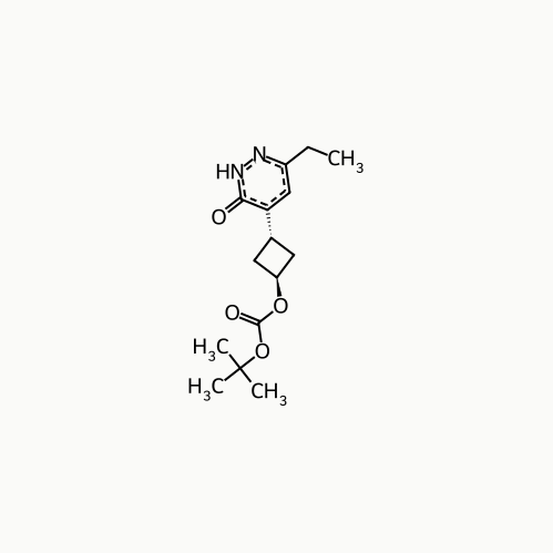 CCc1cc([C@H]2C[C@H](OC(=O)OC(C)(C)C)C2)c(=O)[nH]n1